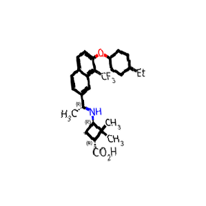 CCC1CCC(Oc2ccc3ccc([C@@H](C)N[C@@H]4C[C@@H](C(=O)O)C4(C)C)cc3c2C(F)(F)F)CC1